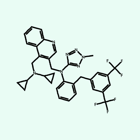 Cn1nnc(N(Cc2cnc3ccccc3c2CN(C2CC2)C2CC2)c2ccccc2Cc2cc(C(F)(F)F)cc(C(F)(F)F)c2)n1